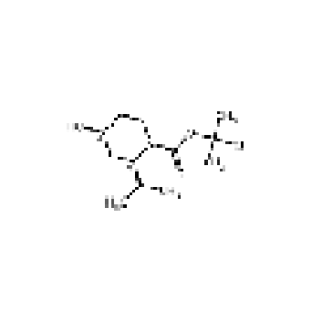 CC(C)[C@H]1C[C@@H](O)CCN1C(=O)OC(C)(C)C